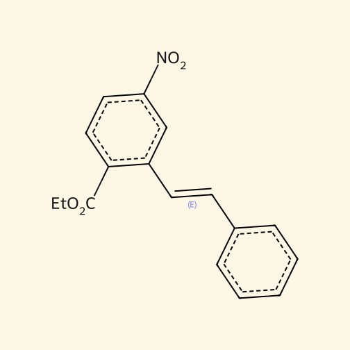 CCOC(=O)c1ccc([N+](=O)[O-])cc1/C=C/c1ccccc1